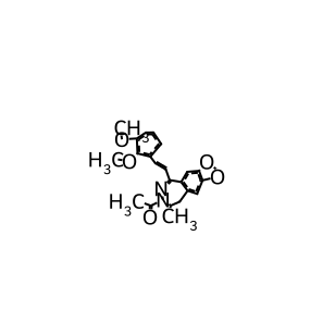 COc1cccc(C=CC2=NN(C(C)=O)C(C)Cc3cc4c(cc32)OCO4)c1OC